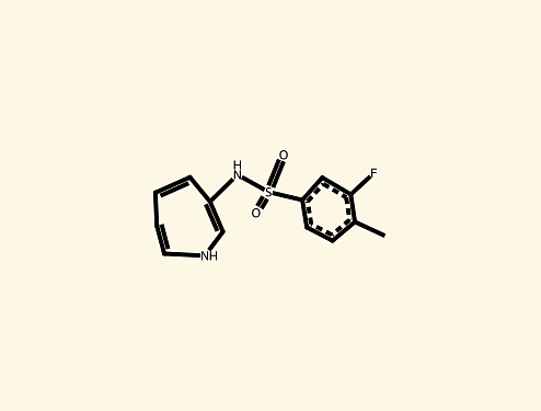 Cc1ccc(S(=O)(=O)NC2=CNC=CC=C2)cc1F